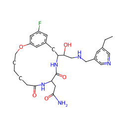 CCc1cncc(CNCC(O)C2Cc3cc(F)cc(c3)OCCCCCC(=O)NC(CC(N)=O)C(=O)N2)c1